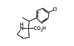 CC(c1ccc(Cl)cc1)C1(C(=O)O)CCCN1